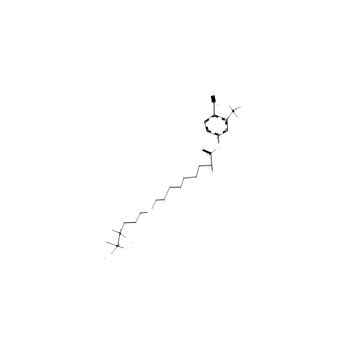 C[C@](O)(CCCCCCCSCCCC(F)(F)C(F)(F)F)C(=O)Nc1ccc(C#N)c(C(F)(F)F)c1